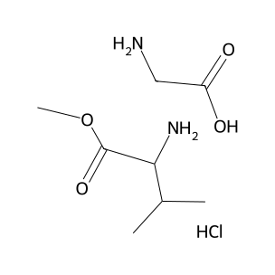 COC(=O)C(N)C(C)C.Cl.NCC(=O)O